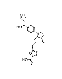 C=CCC(O)c1ccc(N2CCC(Cl)C2CCCc2ccc(C(=O)O)o2)cc1